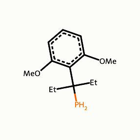 CCC(P)(CC)c1c(OC)cccc1OC